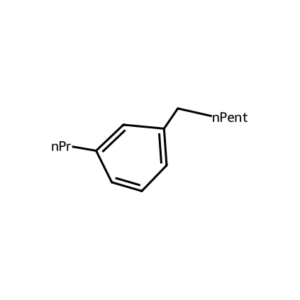 [CH2]CCCCCc1cccc(CCC)c1